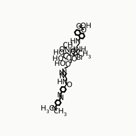 CC(=O)N[C@H]1[C@H](OC(OCCOCCn2cc(CNC(=O)c3ccc(/N=N/c4ccc(N(C)C)cc4)cc3)nn2)C(C)(Br)C(=O)NCCNc2cccc3c(S(=O)(=O)O)cccc23)O[C@H](CO)[C@@H](O)[C@@H]1O